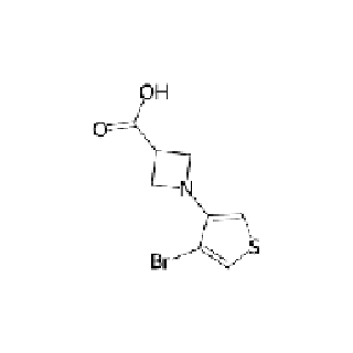 O=C(O)C1CN(c2cscc2Br)C1